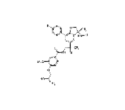 COc1cc(C(=O)NC[C@](O)(c2cc3c(c(-c4ccc(F)cc4)n2)OC[C@]3(C)NCl)C(F)(F)F)ccc1OC[C@@H](C)O